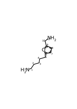 NCCCCCc1ccc(CN)o1